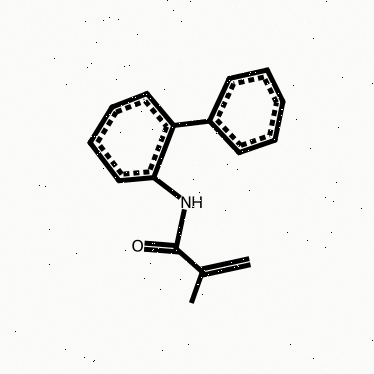 C=C(C)C(=O)Nc1ccccc1-c1ccccc1